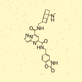 CNC12CC3C1C1C2=CC31CNC(=O)c1cc(C(=O)NCc2ccc3oc(=O)[nH]c3c2)nc2ccnn12